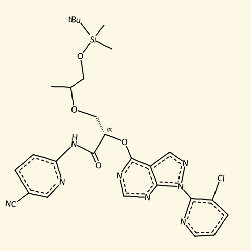 CC(CO[Si](C)(C)C(C)(C)C)OC[C@H](Oc1ncnc2c1cnn2-c1ncccc1Cl)C(=O)Nc1ccc(C#N)cn1